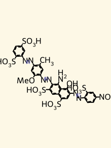 COc1cc(/N=N/c2cc(S(=O)(=O)O)ccc2S(=O)(=O)O)c(C)cc1/N=N/c1c(S(=O)(=O)O)cc2c(S(=O)(=O)O)cc(/N=N/c3ccc([N+](=O)[O-])cc3S(=O)(=O)O)c(O)c2c1N